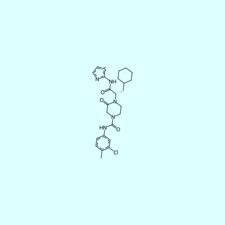 Cc1ccc(NC(=O)N2CCN([C@@H](CC3CCCCC3)C(=O)Nc3nccs3)C(=O)C2)cc1Cl